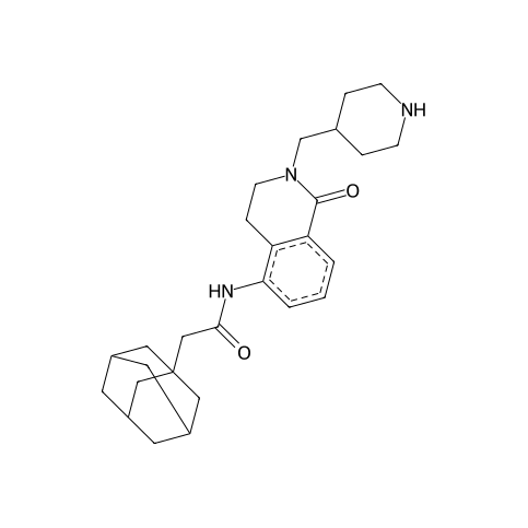 O=C(CC12CC3CC(CC(C3)C1)C2)Nc1cccc2c1CCN(CC1CCNCC1)C2=O